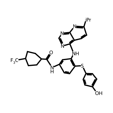 CC(C)c1ccc2c(Nc3cc(NC(=O)C4CCC(C(F)(F)F)CC4)ccc3Sc3ccc(O)cc3)ncnc2n1